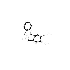 CC[N+]1(Cc2ccccc2)Cc2cc(OC)c(OC)cc2C1